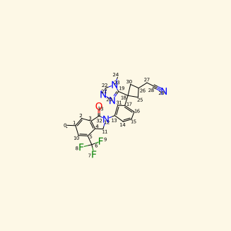 [CH2]c1cc2c(c(C(F)(F)F)c1)CN(c1cccc(C3(c4nncn4C)CC(CC#N)C3)c1)C2=O